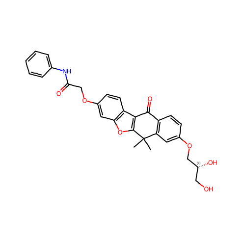 CC1(C)c2cc(OC[C@H](O)CO)ccc2C(=O)c2c1oc1cc(OCC(=O)Nc3ccccc3)ccc21